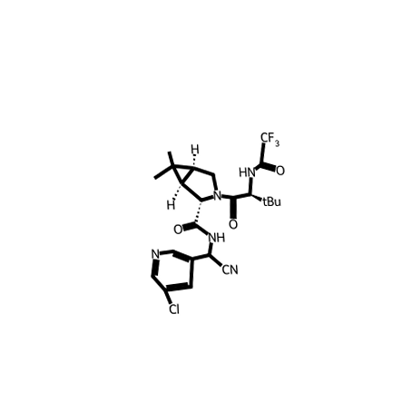 CC(C)(C)[C@H](NC(=O)C(F)(F)F)C(=O)N1C[C@H]2[C@@H]([C@H]1C(=O)NC(C#N)c1cncc(Cl)c1)C2(C)C